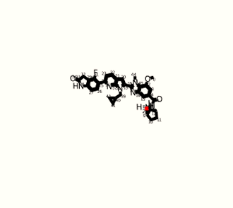 COc1cc(C(=O)N2CC3CCC2[C@@H]3N)cc2nc(-c3cc4ccc(-c5ccc6c(c5F)CC(=O)N6)nc4n3CC3CC3)n(C)c12